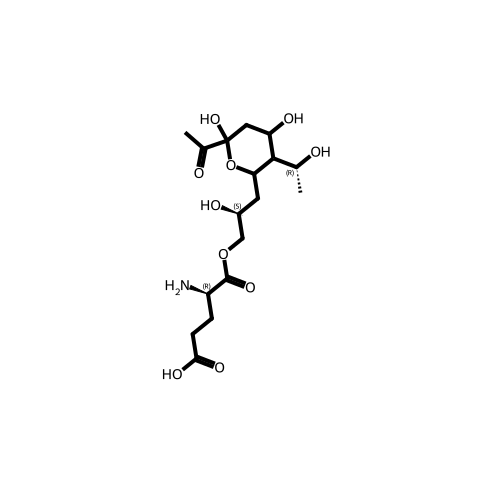 CC(=O)C1(O)CC(O)C([C@@H](C)O)C(C[C@H](O)COC(=O)[C@H](N)CCC(=O)O)O1